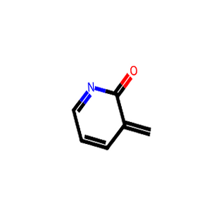 C=C1C=CC=NC1=O